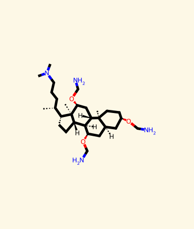 C[C@H](CCCN(C)C)[C@H]1CC[C@H]2[C@@H]3[C@H](OCN)C[C@@H]4C[C@H](OCN)CC[C@]4(C)[C@H]3C[C@H](OCN)[C@]12C